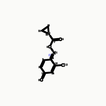 O=C1C=C/C(=N\OC(=O)N2CC2)C(Cl)=C1